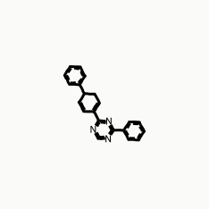 C1=CC(c2ccccc2)CC=C1c1ncnc(-c2ccccc2)n1